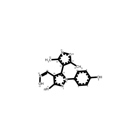 CCCc1nn(-c2ccc(O)cc2)c(-c2c(C)noc2C)c1/C=N\O